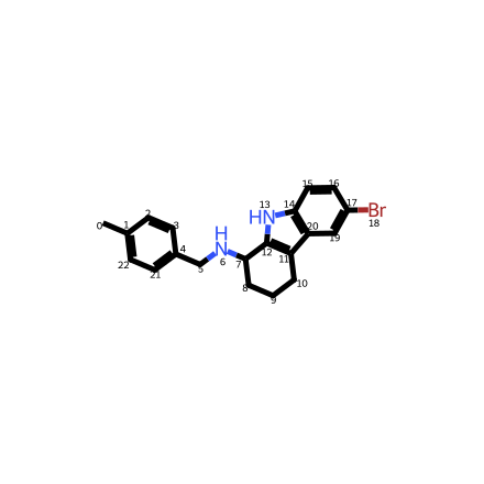 Cc1ccc(CNC2CCCc3c2[nH]c2ccc(Br)cc32)cc1